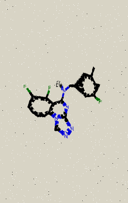 CCN(c1cc(C)cc(F)c1)c1nc2nncn2c2ccc(F)c(F)c12